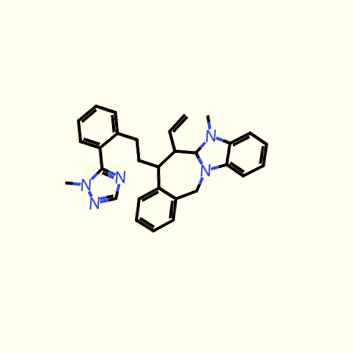 C=CC1C(CCc2ccccc2-c2ncnn2C)c2ccccc2CN2c3ccccc3N(C)C12